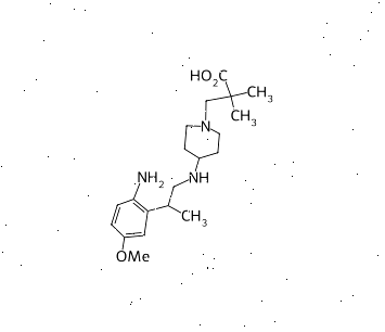 COc1ccc(N)c(C(C)CNC2CCN(CC(C)(C)C(=O)O)CC2)c1